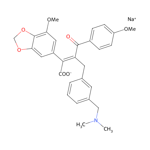 COc1ccc(C(=O)C(Cc2cccc(CN(C)C)c2)=C(C(=O)[O-])c2cc(OC)c3c(c2)OCO3)cc1.[Na+]